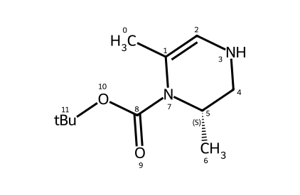 CC1=CNC[C@H](C)N1C(=O)OC(C)(C)C